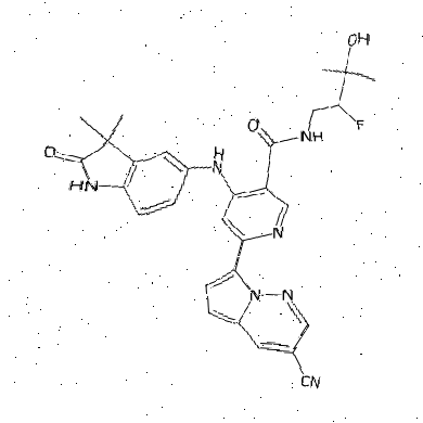 CC1(C)C(=O)Nc2ccc(Nc3cc(-c4ccc5cc(C#N)cnn45)ncc3C(=O)NCC(F)C(C)(C)O)cc21